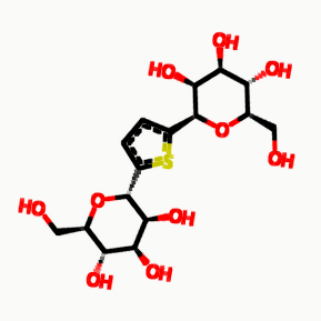 OC[C@H]1O[C@H](c2ccc([C@@H]3O[C@H](CO)[C@@H](O)[C@H](O)[C@@H]3O)s2)[C@@H](O)[C@@H](O)[C@@H]1O